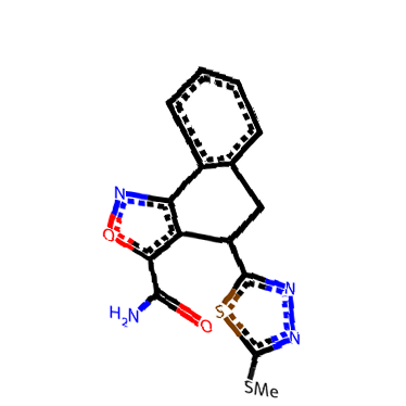 CSc1nnc(C2Cc3ccccc3-c3noc(C(N)=O)c32)s1